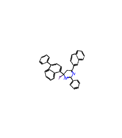 IC1(c2ccc(-c3ccccc3)c3ccccc23)CC(c2ccc3ccccc3c2)=NC(c2ccccc2)=N1